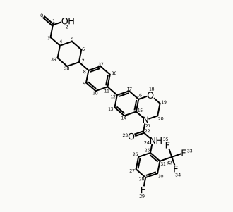 C=C(O)CC1CCC(c2ccc(-c3ccc4c(c3)OCCN4C(=O)Nc3ccc(F)cc3C(F)(F)F)cc2)CC1